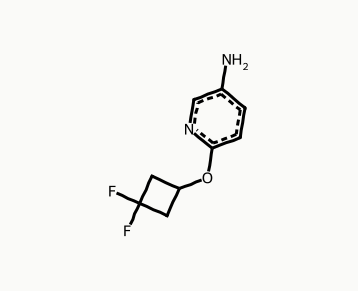 Nc1ccc(OC2CC(F)(F)C2)nc1